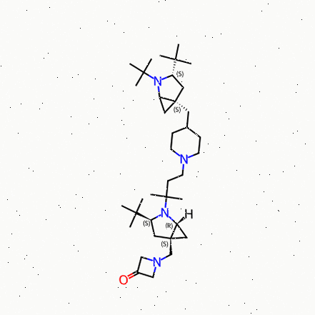 CC(C)(C)[C@@H]1C[C@@]2(CC3CCN(CCC(C)(C)N4[C@H](C(C)(C)C)C[C@@]5(CN6CC(=O)C6)C[C@@H]45)CC3)CC2N1C(C)(C)C